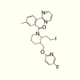 Cc1ccc(-c2ncccn2)c(C(=O)N2CCCC(COc3ccc(F)cn3)C2CCI)c1